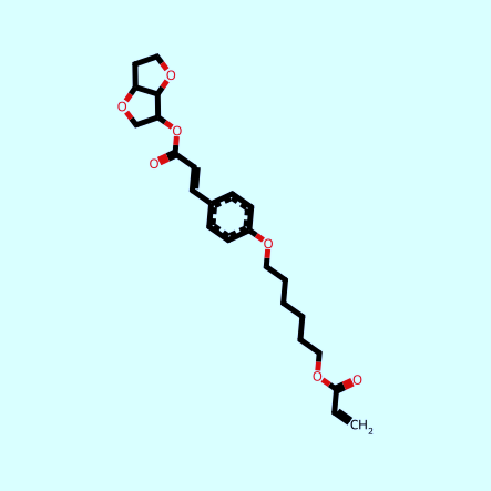 C=CC(=O)OCCCCCCOc1ccc(/C=C/C(=O)OC2COC3CCOC32)cc1